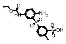 CCOC(=O)Nc1ccc(N)c(S(=O)(=O)c2ccc(C)c(S(=O)(=O)O)c2)c1